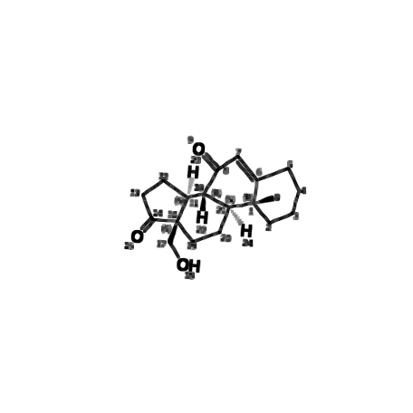 C[C@]12CCCCC1=CC(=O)[C@H]1[C@@H]3CCC(=O)[C@@]3(CO)CC[C@@H]12